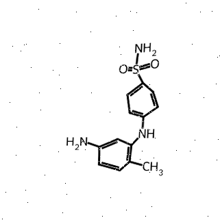 Cc1ccc(N)cc1Nc1ccc(S(N)(=O)=O)cc1